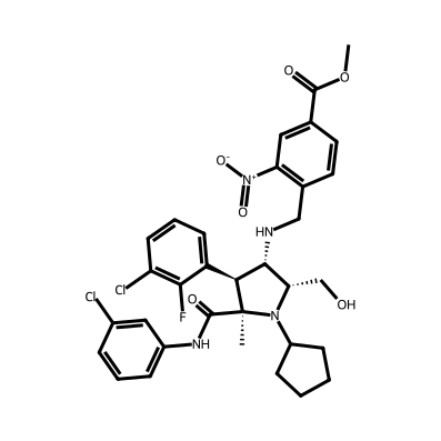 COC(=O)c1ccc(CN[C@@H]2[C@H](CO)N(C3CCCC3)[C@@](C)(C(=O)Nc3cccc(Cl)c3)[C@H]2c2cccc(Cl)c2F)c([N+](=O)[O-])c1